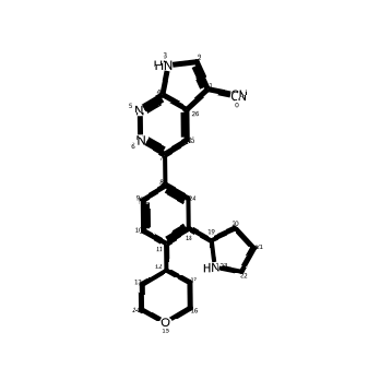 N#Cc1c[nH]c2nnc(-c3ccc(C4CCOCC4)c(C4CCCN4)c3)cc12